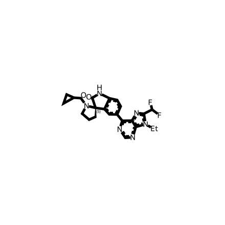 CCn1c(C(F)F)nc2c(-c3ccc4c(c3)[C@@]3(CCCN3C(=O)C3CC3)C(=O)N4)ncnc21